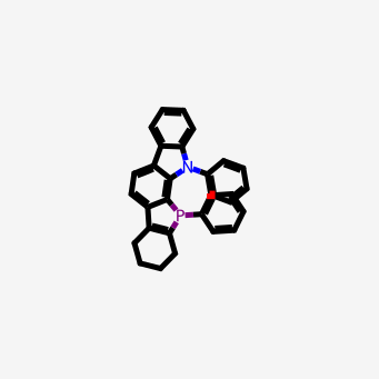 c1ccc(-n2c3ccccc3c3ccc4c5c(p(-c6ccccc6)c4c32)CCCC5)cc1